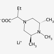 CCC(C(=O)[O-])N1C[C@H](C)N(C)[C@@H](C)C1.[Li+]